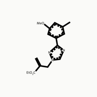 C=C(Cn1cnc(-c2cc(C)cc(OC)c2)n1)C(=O)OCC